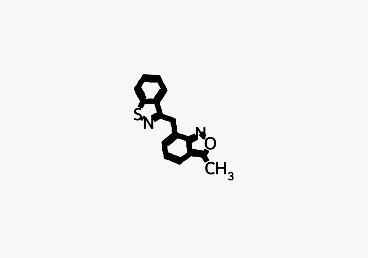 Cc1onc2c(Cc3nsc4ccccc34)cccc12